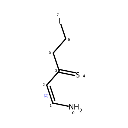 N/C=C\C(=S)CCI